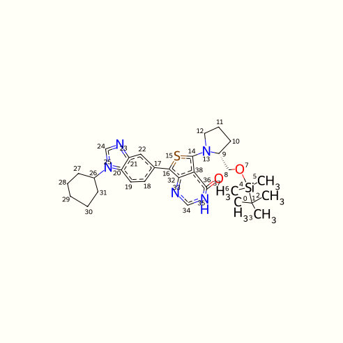 CC(C)(C)[Si](C)(C)OC[C@H]1CCCN1c1sc(-c2ccc3c(c2)ncn3C2CCCCC2)c2nc[nH]c(=O)c12